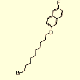 Fc1ccc2cc(OCCCCCCCCCCBr)ccc2c1